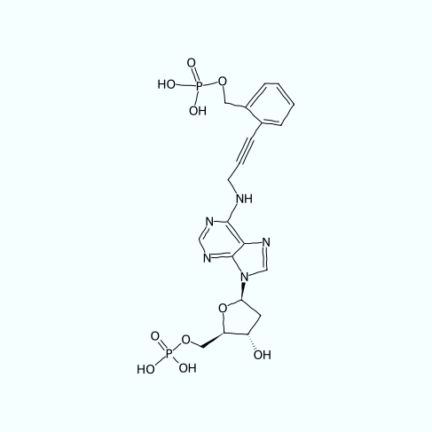 O=P(O)(O)OCc1ccccc1C#CCNc1ncnc2c1ncn2[C@H]1C[C@H](O)[C@@H](COP(=O)(O)O)O1